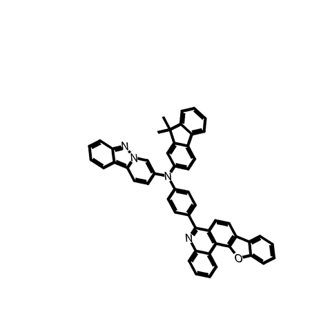 CC1(C)c2ccccc2-c2ccc(N(c3ccc(-c4nc5ccccc5c5c4ccc4c6ccccc6oc45)cc3)c3ccc4c5ccccc5nn4c3)cc21